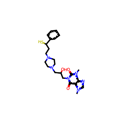 Cn1cnc2c1c(=O)n(CC(O)CN1CCN(CCC(S)c3ccccc3)CC1)c(=O)n2C